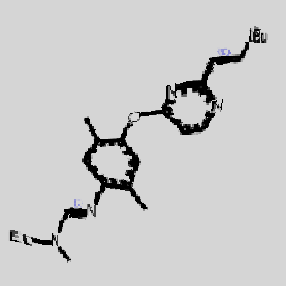 CCN(C)/C=N/c1cc(C)c(Oc2ccnc(/C=C/C(C)(C)C)n2)cc1C